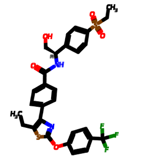 CCc1sc(Oc2ccc(C(F)(F)F)cc2)nc1-c1ccc(C(=O)N[C@@H](CO)c2ccc(S(=O)(=O)CC)cc2)cc1